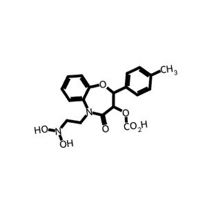 Cc1ccc(C2Oc3ccccc3N(CCN(O)O)C(=O)C2OC(=O)O)cc1